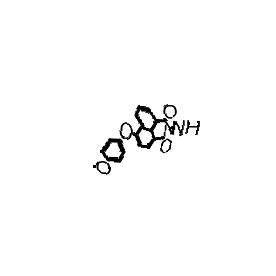 CNN1C(=O)c2cccc3c(Oc4ccc(OC)cc4)ccc(c23)C1=O